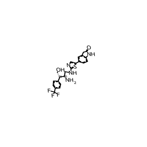 N[C@@H](CNc1ncc(-c2ccc3c(c2)CC(=O)N3)s1)[C@@H](CO)c1ccc(C(F)(F)F)cc1